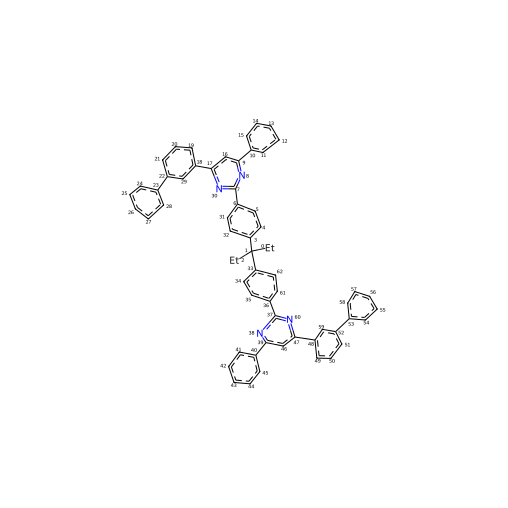 CCC(CC)(c1ccc(-c2nc(-c3ccccc3)cc(-c3cccc(-c4ccccc4)c3)n2)cc1)c1ccc(-c2nc(-c3ccccc3)cc(-c3cccc(-c4ccccc4)c3)n2)cc1